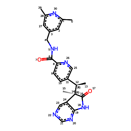 Cc1cc(CNC(=O)c2ccc([C@@H](C)[C@@]3(C)C(=O)Nc4ncncc43)cn2)cc(C)n1